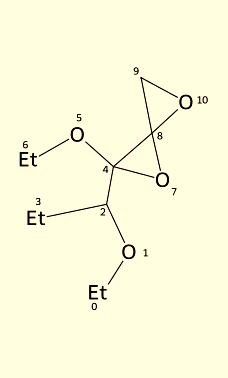 CCOC(CC)C1(OCC)OC12CO2